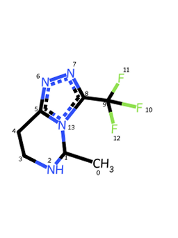 CC1NCCc2nnc(C(F)(F)F)n21